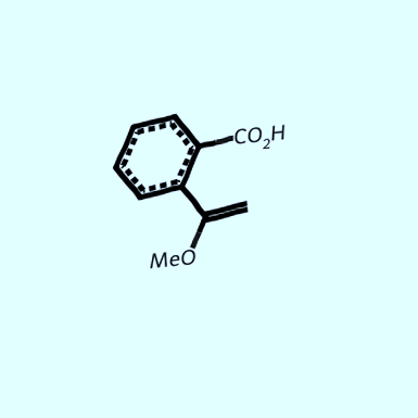 C=C(OC)c1ccccc1C(=O)O